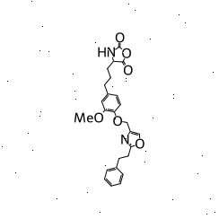 COc1cc(CCCC2NC(=O)OC2=O)ccc1OCc1coc(CCc2ccccc2)n1